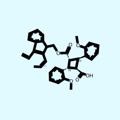 C=CC1=C(/C=C\C)C(COC(=O)[C@H]2[C@@H](c3ccccc3OC)[C@H](C(=O)O)[C@@H]2c2ccccc2OC)c2ccccc21